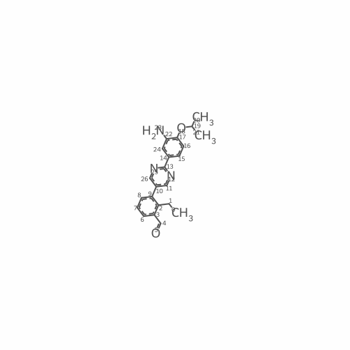 CCc1c(C=O)cccc1-c1cnc(-c2ccc(OC(C)C)c(N)c2)nc1